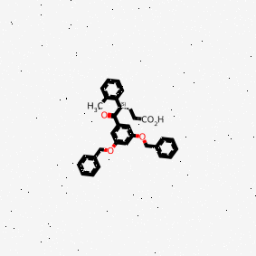 Cc1ccccc1[C@H](CCC(=O)O)C(=O)c1cc(OCc2ccccc2)cc(OCc2ccccc2)c1